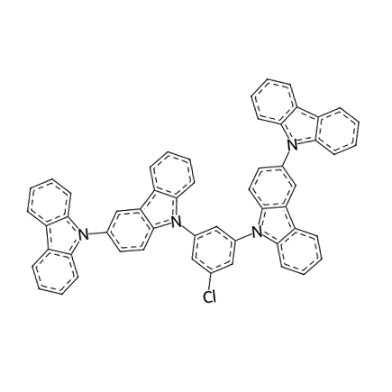 Clc1cc(-n2c3ccccc3c3cc(-n4c5ccccc5c5ccccc54)ccc32)cc(-n2c3ccccc3c3cc(-n4c5ccccc5c5ccccc54)ccc32)c1